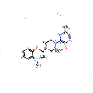 Cc1cnc(OC(C)(C)C)c(N2CCC(COc3ccccc3N(C)C)CC2)n1